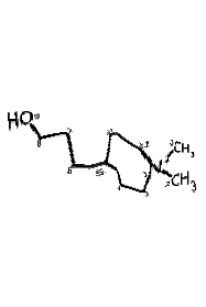 C[N+]1(C)CCC(CCCO)CC1